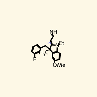 CCN1/C(=C\C=N)C(C)(Cc2cccc(F)c2)c2cc(OC)ccc21